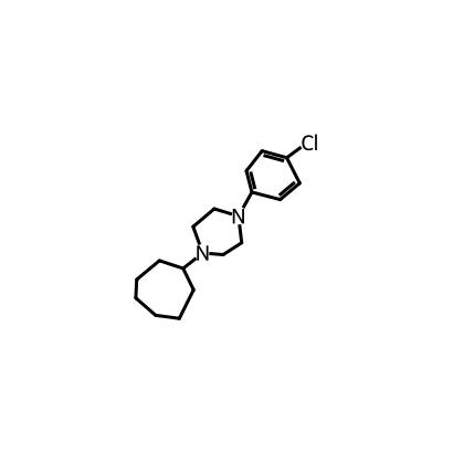 Clc1ccc(N2CCN(C3CCCCCC3)CC2)cc1